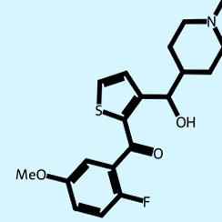 COc1ccc(F)c(C(=O)c2sccc2C(O)C2CCN(C)CC2)c1